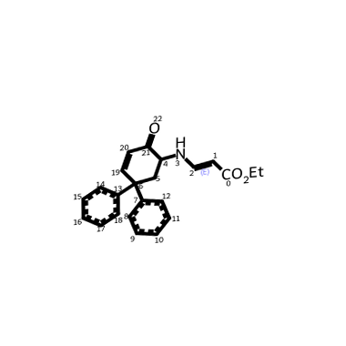 CCOC(=O)/C=C/NC1CC(c2ccccc2)(c2ccccc2)C=CC1=O